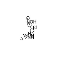 Cn1nc(C(C)(C)C)cc1Nc1ncc2cc(Cl)c(C3CCN([C@]4(C)COCC4O)CC3)cc2n1